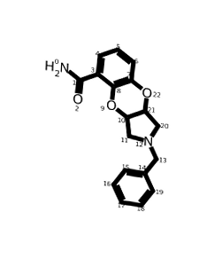 NC(=O)c1cccc2c1OC1CN(Cc3ccccc3)CC1O2